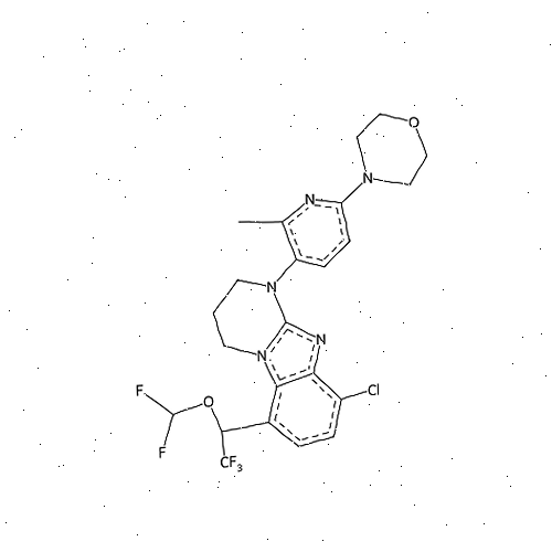 Cc1nc(N2CCOCC2)ccc1N1CCCn2c1nc1c(Cl)ccc(C(OC(F)F)C(F)(F)F)c12